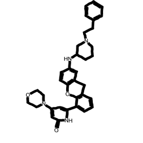 O=c1cc(N2CCOCC2)cc(-c2cccc3c2Oc2ccc(NC4CCCN(CCc5ccccc5)C4)cc2C3)[nH]1